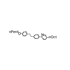 CCCCCCCCc1ccc(-c2ccc(CCc3ccc(OCCCCC)cc3)cc2)nc1